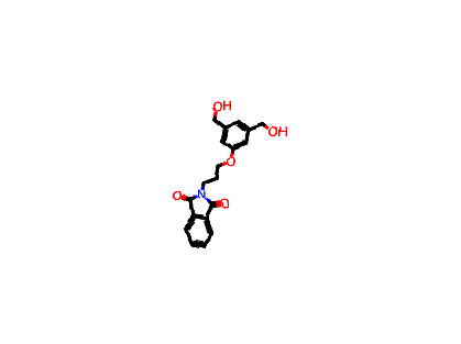 O=C1c2ccccc2C(=O)N1CCCOc1cc(CO)cc(CO)c1